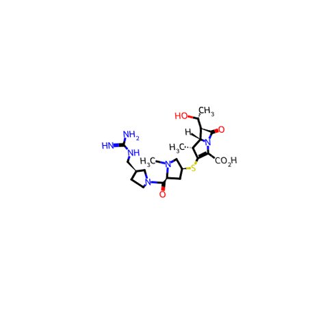 C[C@@H](O)[C@H]1C(=O)N2C(C(=O)O)=C(S[C@H]3C[C@@H](C(=O)N4CC[C@@H](CNC(=N)N)C4)N(C)C3)[C@H](C)[C@H]12